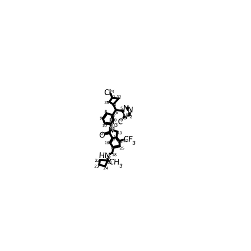 Cn1cnnc1C(c1cccc(N2Cc3c(cc(CNC4(C)CCC4)cc3C(F)(F)F)C2=O)c1)C1CC(Cl)C1